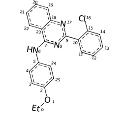 CCOc1ccc(Nc2nc(-c3ccccc3Cl)nc3ccccc23)cc1